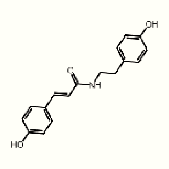 O=C(C=Cc1ccc(O)cc1)NCCc1ccc(O)cc1